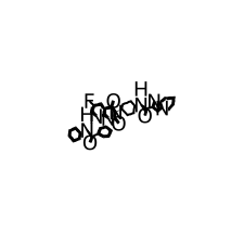 O=C(Nc1ccccc1)c1cccc(-n2c(=O)n([C@H]3CC[C@@H](NC(=O)c4cn5ccccc5n4)CC3)c(=O)c3cc(F)cnc32)c1